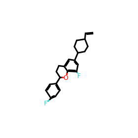 C=CC1CCC(c2cc(F)c3c(c2)CCC(c2ccc(F)cc2)O3)CC1